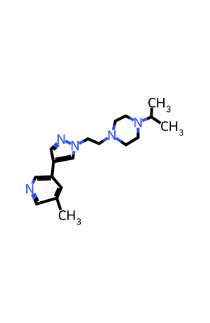 Cc1cncc(-c2cnn(CCN3CCN(C(C)C)CC3)c2)c1